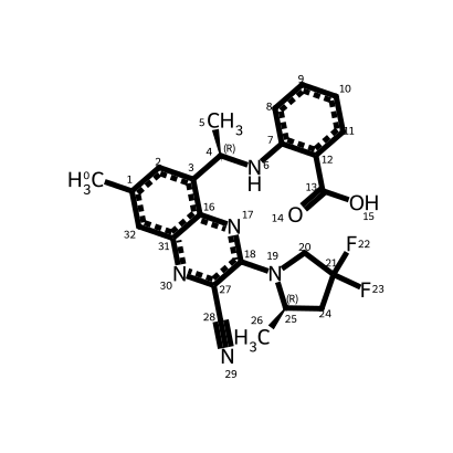 Cc1cc([C@@H](C)Nc2ccccc2C(=O)O)c2nc(N3CC(F)(F)C[C@H]3C)c(C#N)nc2c1